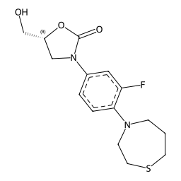 O=C1O[C@@H](CO)CN1c1ccc(N2CCCSCC2)c(F)c1